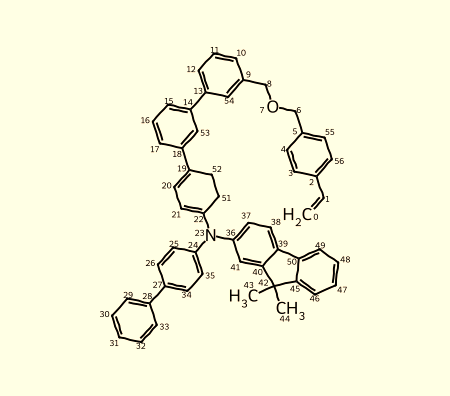 C=Cc1ccc(COCc2cccc(-c3cccc(C4=CC=C(N(c5ccc(-c6ccccc6)cc5)c5ccc6c(c5)C(C)(C)c5ccccc5-6)CC4)c3)c2)cc1